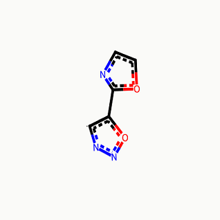 [c]1nnoc1-c1ncco1